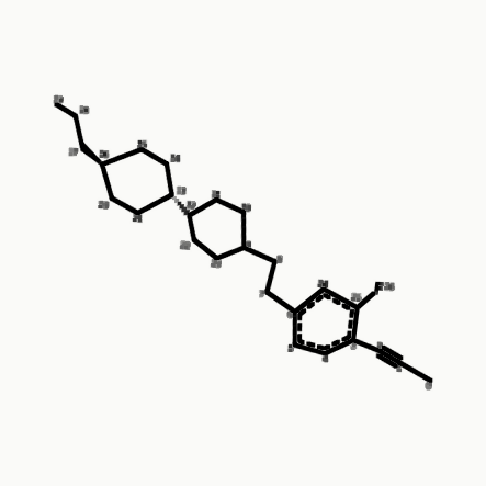 CC#Cc1ccc(CCC2CCC([C@H]3CC[C@H](CCC)CC3)CC2)cc1F